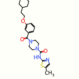 Cc1cnc(NC(=O)N2CCN(C(=O)c3cccc(OCCC4CCCCC4)c3)CC2)s1